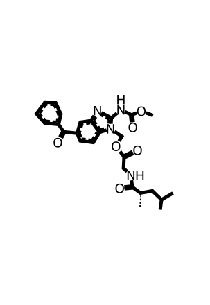 COC(=O)Nc1nc2cc(C(=O)c3ccccc3)ccc2n1COC(=O)CNC(=O)[C@@H](C)CC(C)C